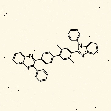 Cc1cc(-c2nc3ccccc3n2-c2ccccc2)c(C)cc1-c1ccc(-c2nc3ccccc3nc2-c2ccccc2)cc1